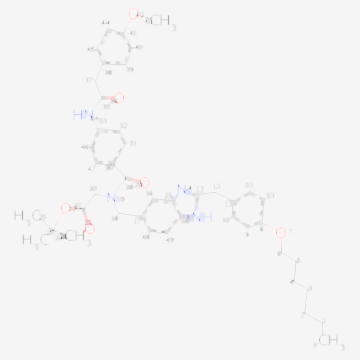 CCCCCCCOc1ccc(Cc2nc3cc(CN(CC(=O)OC(C)(C)C)C(=O)c4ccc(NC(=O)Cc5ccc(OC)cc5)cc4)ccc3[nH]2)cc1